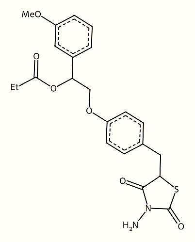 CCC(=O)OC(COc1ccc(CC2SC(=O)N(N)C2=O)cc1)c1cccc(OC)c1